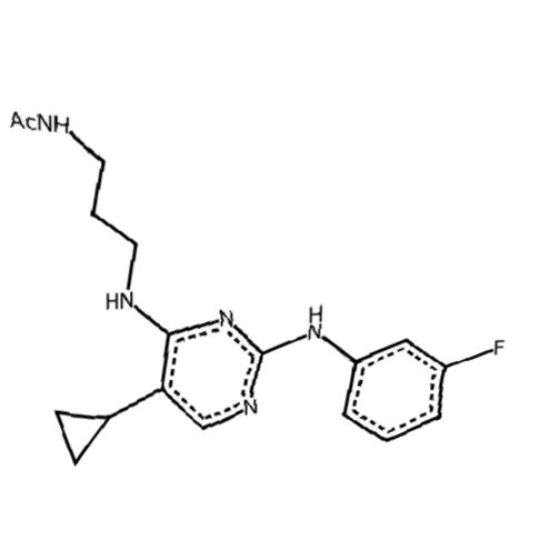 CC(=O)NCCCNc1nc(Nc2cccc(F)c2)ncc1C1CC1